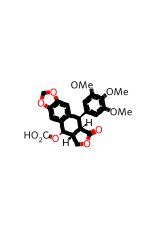 COc1cc([C@@H]2c3cc4c(cc3[C@@H](OC(=O)O)[C@H]3COC(=O)[C@H]23)OCO4)cc(OC)c1OC